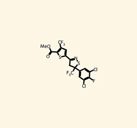 COC(=O)c1sc(C2=NSC(c3cc(Cl)c(F)c(Cl)c3)(C(F)(F)F)C2)cc1C(F)(F)F